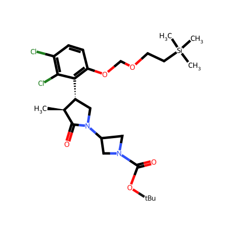 C[C@@H]1C(=O)N(C2CN(C(=O)OC(C)(C)C)C2)C[C@H]1c1c(OCOCC[Si](C)(C)C)ccc(Cl)c1Cl